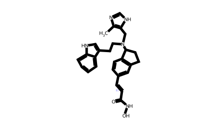 Cc1nc[nH]c1CN(CCc1c[nH]c2ccccc12)C1CCc2cc(/C=C/C(=O)NO)ccc21